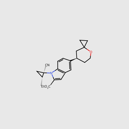 CCOC(=O)c1cc2cc([C@@H]3CCOC4(CC4)C3)ccc2n1[C@]1(C#N)C[C@H]1C